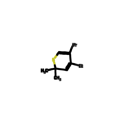 CCC1=CC(C)(C)SC=C1C(C)C